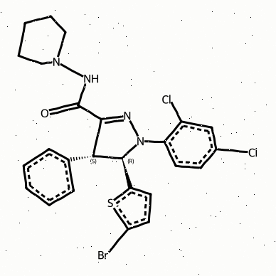 O=C(NN1CCCCC1)C1=NN(c2ccc(Cl)cc2Cl)[C@@H](c2ccc(Br)s2)[C@@H]1c1ccccc1